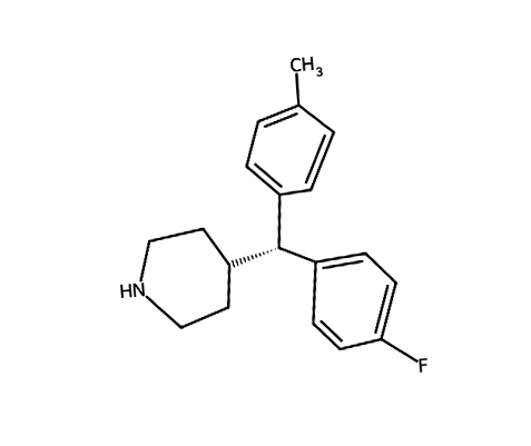 Cc1ccc([C@H](c2ccc(F)cc2)C2CCNCC2)cc1